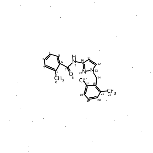 Cc1ccccc1C(=O)Nc1ccn(Cc2c(Cl)cccc2C(F)(F)F)n1